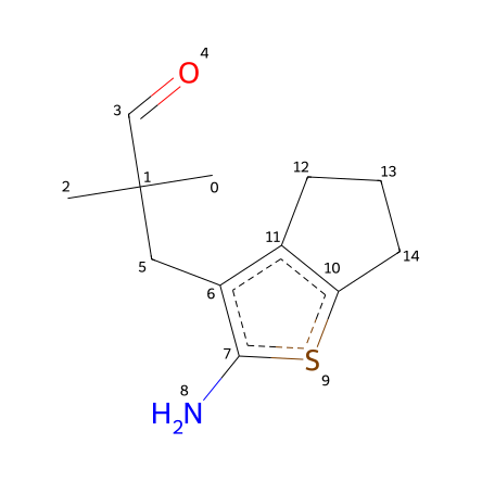 CC(C)(C=O)Cc1c(N)sc2c1CCC2